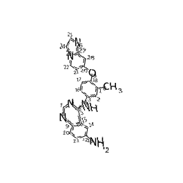 Cc1cc(Nc2ncnc3ccc(N)cc23)ccc1Oc1ccn2ccnc2c1